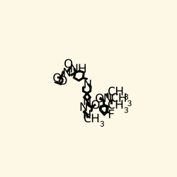 CCN(C(=O)c1cc(F)ccc1OC1=C(N2CC3(CCN(CC4CCC5(CC4)CN(CC4OCCO4)C(=O)N5)CC3)C2)N=CN(C)C1)C(C)C